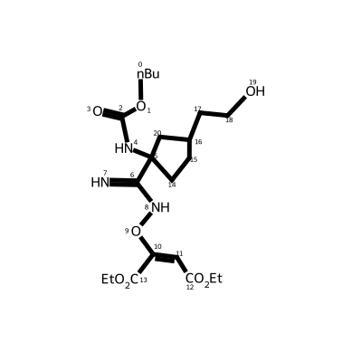 CCCCOC(=O)NC1(C(=N)NOC(=CC(=O)OCC)C(=O)OCC)CCC(CCO)C1